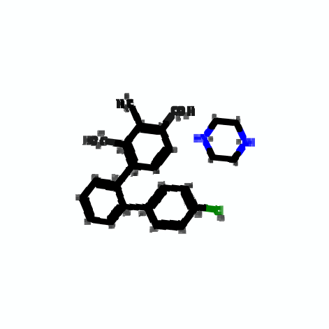 C1CNCCN1.Cc1c(C(=O)O)ccc(-c2ccccc2-c2ccc(Cl)cc2)c1C(=O)O